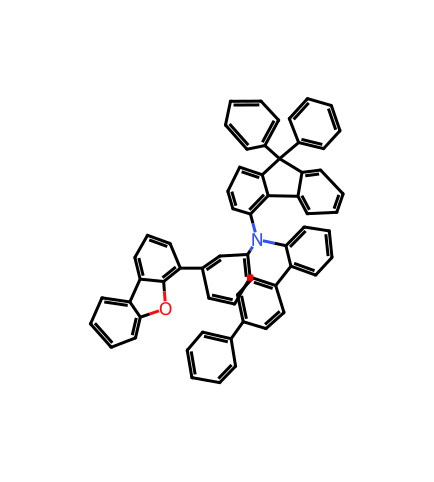 c1ccc(-c2ccc(-c3ccccc3N(c3cccc(-c4cccc5c4oc4ccccc45)c3)c3cccc4c3-c3ccccc3C4(c3ccccc3)c3ccccc3)cc2)cc1